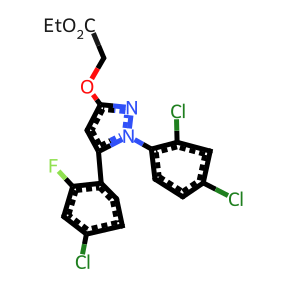 CCOC(=O)COc1cc(-c2ccc(Cl)cc2F)n(-c2ccc(Cl)cc2Cl)n1